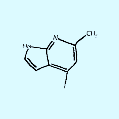 Cc1cc(I)c2cc[nH]c2n1